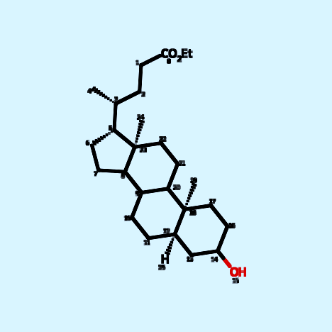 CCOC(=O)CC[C@@H](C)[C@H]1CCC2C3CC[C@@H]4CC(O)CC[C@]4(C)C3CC[C@@]21C